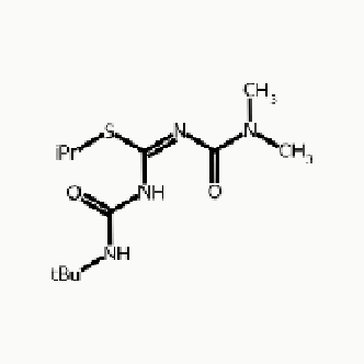 CC(C)SC(=NC(=O)N(C)C)NC(=O)NC(C)(C)C